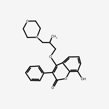 CC(COc1c(-c2ccccc2)c(=O)oc2c(O)cccc12)CN1CCOCC1